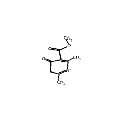 COC(=O)C1=C(C)[N+]=C(C)CC1=O